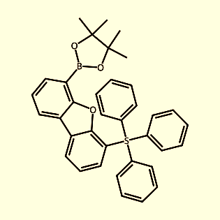 CC1(C)OB(c2cccc3c2oc2c(S(c4ccccc4)(c4ccccc4)c4ccccc4)cccc23)OC1(C)C